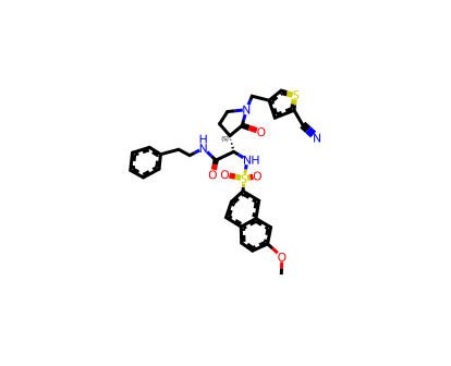 COc1ccc2ccc(S(=O)(=O)NC(C(=O)NCCc3ccccc3)[C@@H]3CCN(Cc4csc(C#N)c4)C3=O)cc2c1